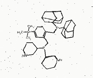 C[Si](C)(C)c1ccc(CP(C23CC4CC(CC(C4)C2)C3)C23CC4CC(CC(C4)C2)C3)c(CP(C2CCCNC2)C2CCCNC2)c1